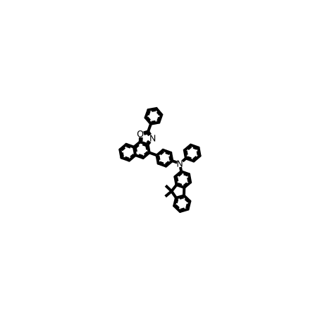 CC1(C)c2ccccc2-c2ccc(N(c3ccccc3)c3ccc(-c4cc5ccccc5c5oc(-c6ccccc6)nc45)cc3)cc21